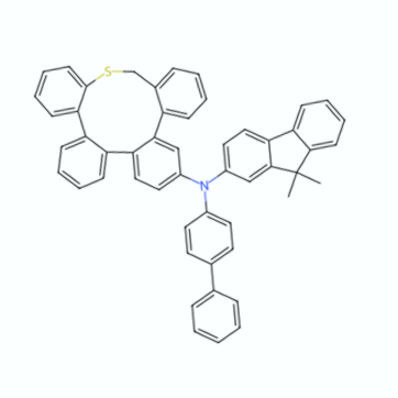 CC1(C)c2ccccc2-c2ccc(N(c3ccc(-c4ccccc4)cc3)c3ccc4c(c3)-c3ccccc3CSc3ccccc3-c3ccccc3-4)cc21